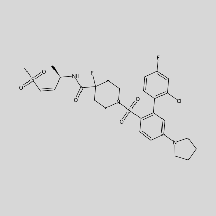 C[C@H](/C=C\S(C)(=O)=O)NC(=O)C1(F)CCN(S(=O)(=O)c2ccc(N3CCCC3)cc2-c2ccc(F)cc2Cl)CC1